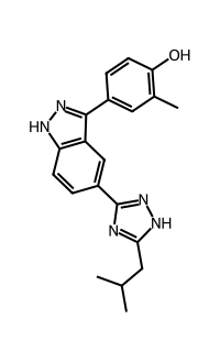 Cc1cc(-c2n[nH]c3ccc(-c4n[nH]c(CC(C)C)n4)cc23)ccc1O